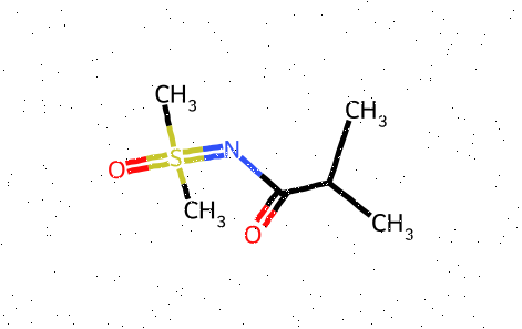 CC(C)C(=O)N=S(C)(C)=O